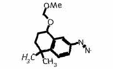 COCOC1CCC(C)(C)c2ccc(N=[N])cc21